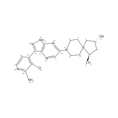 C[C@@H]1C[C@@H](O)CC12CCN(c1cnc3c(-c4ccnc(N)c4Cl)n[nH]c3n1)CC2